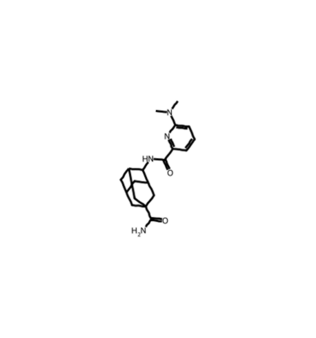 CN(C)c1cccc(C(=O)NC2C3CC4CC2CC(C(N)=O)(C4)C3)n1